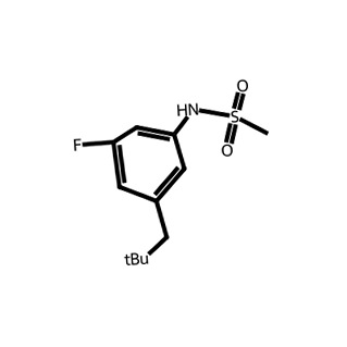 CC(C)(C)Cc1cc(F)cc(NS(C)(=O)=O)c1